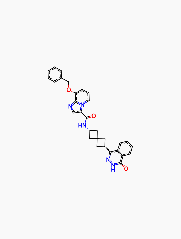 O=C(N[C@H]1CC2(C1)C[C@H](c1n[nH]c(=O)c3ccccc31)C2)c1cnc2c(OCc3ccccc3)cccn12